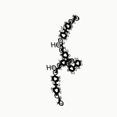 CC(C)(c1ccc(OCC(O)COc2ccc(C(C)(c3ccc(OCC(O)COc4ccc(C(C)(C)c5ccc(OCC6CO6)cc5)cc4)cc3)P3(=O)Oc4ccccc4-c4ccccc43)cc2)cc1)c1ccc(OCC2CO2)cc1